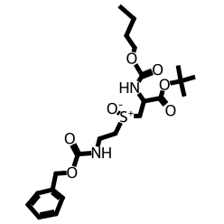 CCCCOC(=O)NC(C[S+]([O-])CCNC(=O)OCc1ccccc1)C(=O)OC(C)(C)C